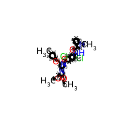 CCO[C@H]1CN([C@H]2C[C@@H](CO[C@H]3CC[C@H](C)CC3)N(C(=O)Cc3cc(Cl)c(NC(=O)c4cn(C)c5ccccc45)cc3Cl)C2)C[C@H]1OCC